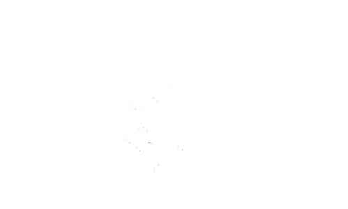 Cc1ccc(S(=O)(=O)n2ccc3c2ncc2nnc([C@H]4CN(Cc5ccccc5)C[C@H]4C(C)C)n23)cc1